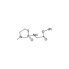 CC(C)OC(=O)CNP1(=O)CN(C)CCS1